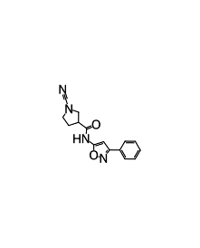 N#CN1CCC(C(=O)Nc2cc(-c3ccccc3)no2)C1